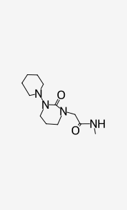 CNC(=O)CN1CCCN(N2CCCCC2)C1=O